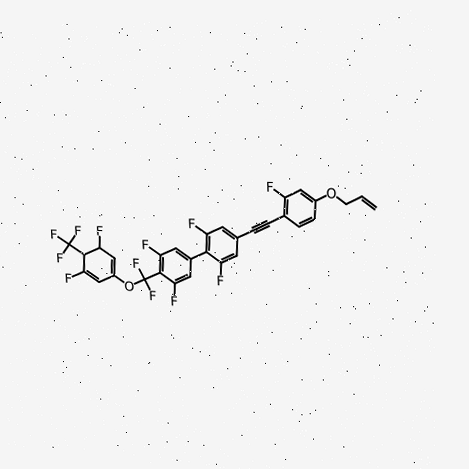 C=CCOc1ccc(C#Cc2cc(F)c(-c3cc(F)c(C(F)(F)OC4=CC(F)C(C(F)(F)F)C(F)=C4)c(F)c3)c(F)c2)c(F)c1